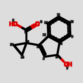 O=C(O)C1(C2=CC(O)c3ccccc32)CC1